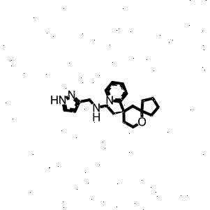 c1ccc([C@@]2(CCNCc3cc[nH]n3)CCOC3(CCCC3)C2)nc1